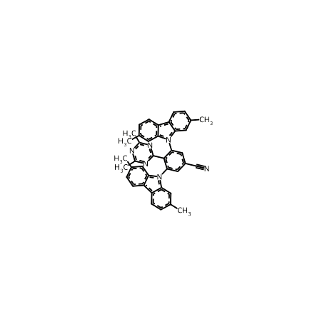 Cc1ccc2c3ccc(C)cc3n(-c3cc(C#N)cc(-n4c5cc(C)ccc5c5ccc(C)cc54)c3-c3nc(C)nc(C)n3)c2c1